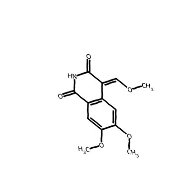 CO/C=C1/C(=O)NC(=O)c2cc(OC)c(OC)cc21